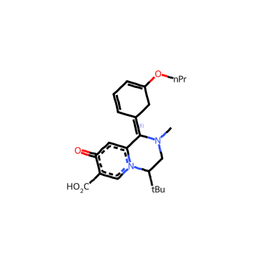 CCCOC1=CC=C/C(=C2\c3cc(=O)c(C(=O)O)cn3C(C(C)(C)C)CN2C)C1